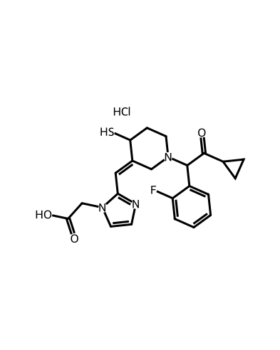 Cl.O=C(O)Cn1ccnc1/C=C1\CN(C(C(=O)C2CC2)c2ccccc2F)CCC1S